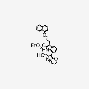 CCOC(=O)c1[nH]c2c(-c3c(CO)nn4c3OCCC4)cccc2c1CCCOc1cccc2ccccc12